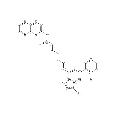 Bc1cnn2c(NCCCCNC(=O)CC3=CC=C4C=CC=CC4C3)cc(C3=C(Cl)CCC=C3)nc12